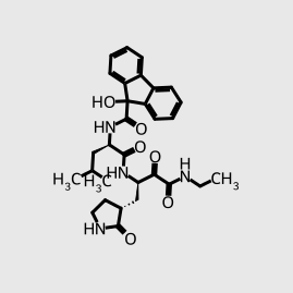 CCNC(=O)C(=O)[C@@H](C[C@H]1CCNC1=O)NC(=O)[C@@H](CC(C)C)NC(=O)C1(O)c2ccccc2-c2ccccc21